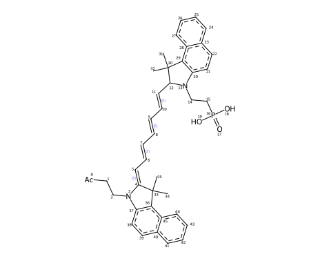 CC(=O)CCN1/C(=C/C=C/C=C/C=C/C2N(CCP(=O)(O)O)c3ccc4ccccc4c3C2(C)C)C(C)(C)c2c1ccc1ccccc21